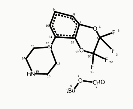 CC(C)(C)OC=O.FC1(F)Oc2cccc(N3CCNCC3)c2OC1(F)F